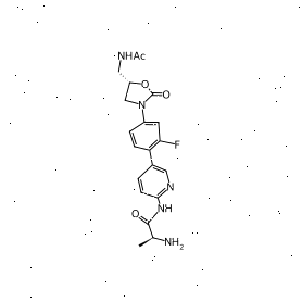 CC(=O)NC[C@H]1CN(c2ccc(-c3ccc(NC(=O)[C@H](C)N)nc3)c(F)c2)C(=O)O1